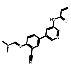 C=CC(=O)Nc1cncc(-c2ccc(N=CN(C)C)c(C#N)c2)c1